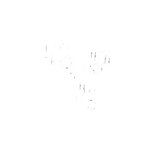 C[C@@](O)(c1ccc(N2CCN(S(=O)(=O)c3cccs3)C[C@@H]2Cn2ccc3nccnc32)cc1)C(F)(F)F